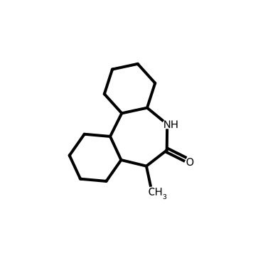 CC1C(=O)NC2CCCCC2C2CCCCC12